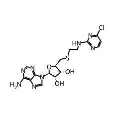 Nc1ncnc2c1ncn2[C@H]1O[C@@H](CSCCNc2nccc(Cl)n2)[C@H](O)[C@@H]1O